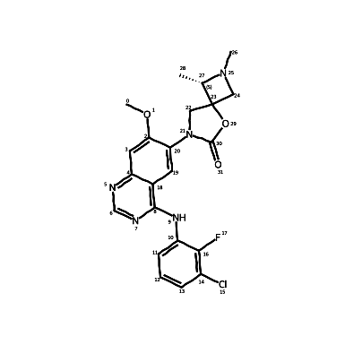 COc1cc2ncnc(Nc3cccc(Cl)c3F)c2cc1N1CC2(CN(C)[C@H]2C)OC1=O